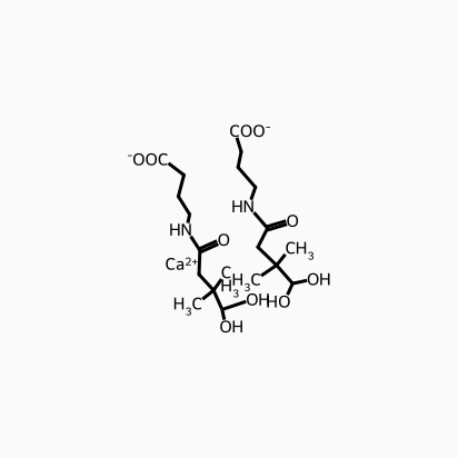 CC(C)(CC(=O)NCCCC(=O)[O-])C(O)O.CC(C)(CC(=O)NCCCC(=O)[O-])C(O)O.[Ca+2]